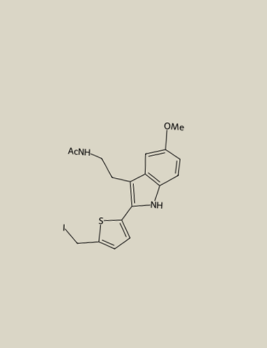 COc1ccc2[nH]c(-c3ccc(CI)s3)c(CCNC(C)=O)c2c1